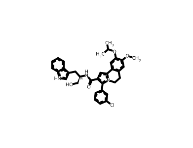 COc1cc2c(cc1OC(C)C)-c1cc(C(=O)N[C@@H](CO)Cc3c[nH]c4ccccc34)c(-c3cccc(Cl)c3)n1CC2